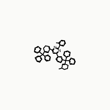 Cc1ccccc1-c1nc(C2=CCCC(C(c3ccccc3)(c3ccccc3)c3ccccc3)=C2)cc(-c2cccc(C(C3=CC(C)CCC3)(c3ccccc3)c3ccccc3)c2)n1